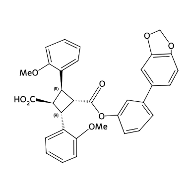 COc1ccccc1[C@@H]1[C@H](C(=O)O)[C@@H](c2ccccc2OC)[C@H]1C(=O)Oc1cccc(-c2ccc3c(c2)OCO3)c1